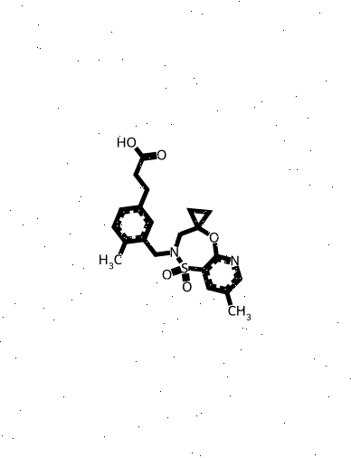 Cc1cnc2c(c1)S(=O)(=O)N(Cc1cc(CCC(=O)O)ccc1C)CC1(CC1)O2